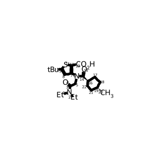 CCN(CC)C(=O)CN(c1cc(C(C)(C)C)sc1C(=O)O)C(=O)[C@H]1CC[C@H](C)CC1